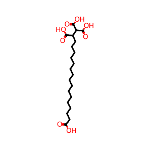 O=C(O)CCCCCCCCCCCCCCCC(C(=O)O)C(C(=O)O)C(=O)O